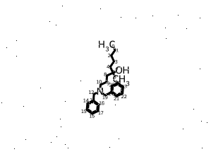 CCCCCC(C)(O)CCCN(Cc1ccccc1)Cc1ccccc1